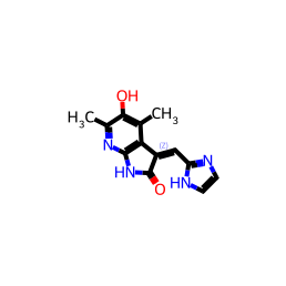 Cc1nc2c(c(C)c1O)/C(=C/c1ncc[nH]1)C(=O)N2